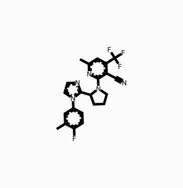 Cc1cc(C(F)(F)F)c(C#N)c(N2CCCC2c2nccn2-c2ccc(F)c(C)c2)n1